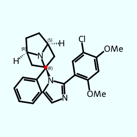 COc1cc(OC)c(-c2nccn2[C@H]2C[C@H]3CC[C@@H](C2)N3Cc2ccccc2)cc1Cl